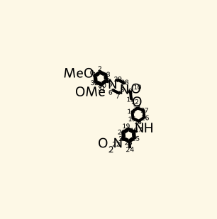 COc1ccc(N2CCN(C(=O)COC3CCC(Nc4ccc([N+](=O)[O-])c(C)c4)CC3)CC2)c(OC)c1